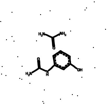 NC(=O)Nc1cccc(O)c1.NC(N)=O